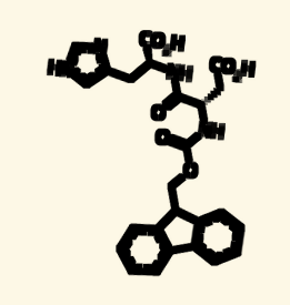 O=C(O)C[C@H](NC(=O)OCC1c2ccccc2-c2ccccc21)C(=O)N[C@@H](Cc1c[nH]cn1)C(=O)O